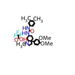 COc1ccc(C23CCC(NC(=O)Nc4ccc(C)c(C)c4)CC2N(C)CC3)cc1OC.O=C(O)C(F)(F)F